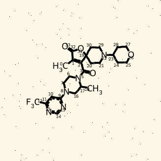 CC1=C(C(=O)N2CCN(c3cc(C(F)(F)F)ncn3)CC2C)C2(CCN(C3CCOCC3)CC2)OC1=O